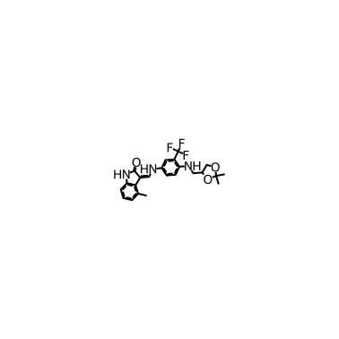 Cc1cccc2c1C(=CNc1ccc(NCC3COC(C)(C)O3)c(C(F)(F)F)c1)C(=O)N2